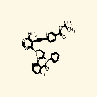 CC(C)OC(=O)c1ccc(C#Cc2c(N)ncnc2NCCc2nc3cccc(Cl)c3c(=O)n2-c2ccccc2)nc1